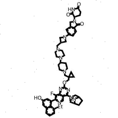 CCc1cccc2cc(O)cc(-c3ncc4c(N5CC6CCC(C5)N6)nc(OCC5(CN6CCC(N7CCN(CC8CN(c9ccc%10c(c9)CN(C9CCC(=O)NC9=O)C%10=O)C8)CC7)CC6)CC5)nc4c3F)c12